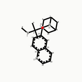 CSC(C)(C)N1CC2CC(C1)N2Cc1ccc2ncccc2c1